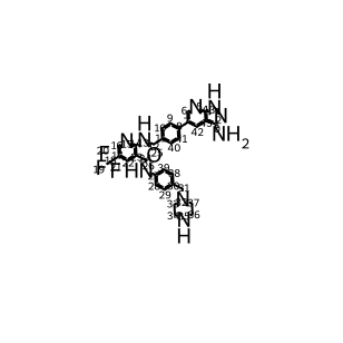 Nc1n[nH]c2ncc(-c3ccc(CNc4ncc(C(F)(F)F)cc4C(=O)Nc4ccc(CN5CCNCC5)cc4)cc3)cc12